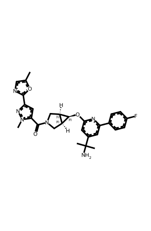 Cc1cnc(-c2cc(C(=O)N3C[C@@H]4[C@H](C3)[C@@H]4Oc3cc(C(C)(C)N)cc(-c4ccc(F)cc4)n3)n(C)n2)o1